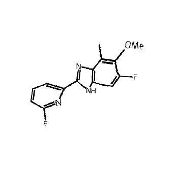 COc1c(F)cc2[nH]c(-c3cccc(F)n3)nc2c1C